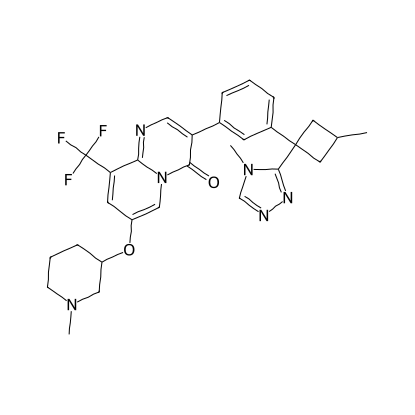 CC1CC(c2cccc(-c3cnc4c(C(F)(F)F)cc(OC5CCCN(C)C5)cn4c3=O)c2)(c2nncn2C)C1